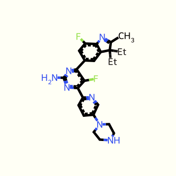 CCC1(CC)C(C)=Nc2c(F)cc(-c3nc(N)nc(-c4ccc(N5CCNCC5)cn4)c3F)cc21